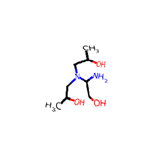 CC(O)CN(CC(C)O)C(N)CO